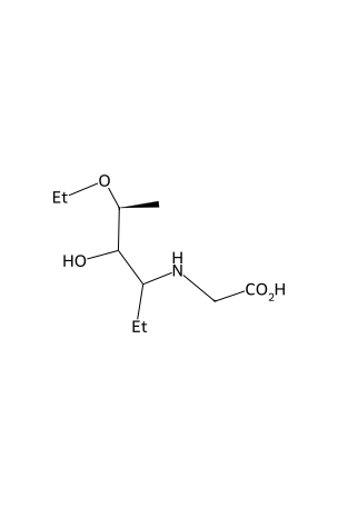 CCO[C@@H](C)C(O)C(CC)NCC(=O)O